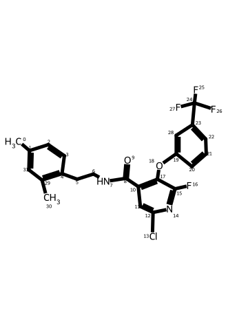 Cc1ccc(CCNC(=O)c2cc(Cl)nc(F)c2Oc2cccc(C(F)(F)F)c2)c(C)c1